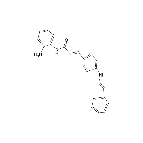 Nc1ccccc1NC(=O)C=Cc1ccc(NC=Cc2ccccc2)cc1